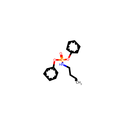 C=CCCNP(=O)(Oc1ccccc1)Oc1ccccc1